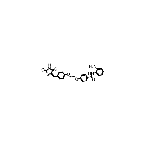 Nc1ccccc1NC(=O)c1ccc(OCCOc2ccc(C=C3SC(=O)NC3=O)cc2)cc1